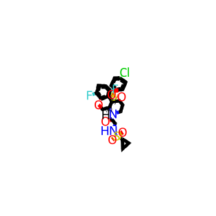 O=C(CNS(=O)(=O)C1CC1)N1CCC[C@]2(S(=O)(=O)c3ccc(Cl)cc3)c3c(F)ccc(F)c3OC[C@H]12